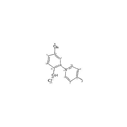 Cc1cc[n+](-c2cc(O)ccc2O)cc1.[Cl-]